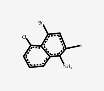 Nc1c(I)cc(Br)c2c(Cl)cccc12